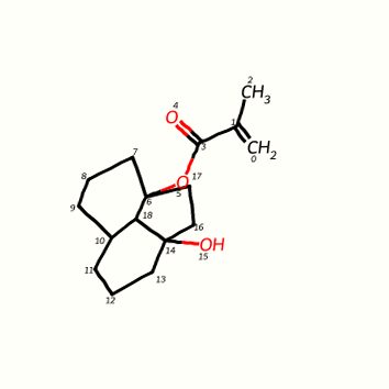 C=C(C)C(=O)OC12CCCC3CCCC(O)(CC1)C32